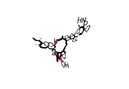 CC[C@H](C)[C@H]1O[C@]2(C=C[C@@H]1C)C[C@@H]1C[C@@H](C/C=C(\C)C(O[C@H]3C[C@H](OC)C(C[C@H]4C[C@H](OC)[C@H](ONC)[C@H](C)O4)[C@H](C)O3)[C@@H](C)/C=C/C=C3\CO[C@@H]4[C@H](O)C(C)=C[C@@H](C(=O)O1)[C@]34O)O2